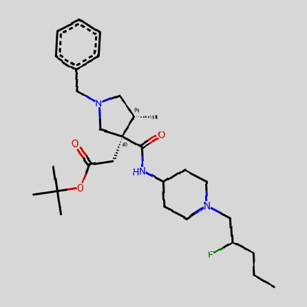 CCCC(F)CN1CCC(NC(=O)[C@@]2(CC(=O)OC(C)(C)C)CN(Cc3ccccc3)C[C@@H]2C)CC1